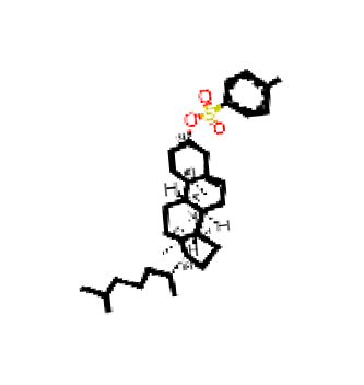 Cc1ccc(S(=O)(=O)O[C@H]2CC[C@@]3(C)C(=CC[C@H]4[C@@H]5CC[C@H](C(C)CCCC(C)C)[C@@]5(C)CC[C@@H]43)C2)cc1